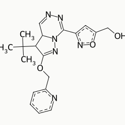 CC(C)(C)C1C(OCc2ccccn2)=NN2C(c3cc(CO)on3)=NN=CC12